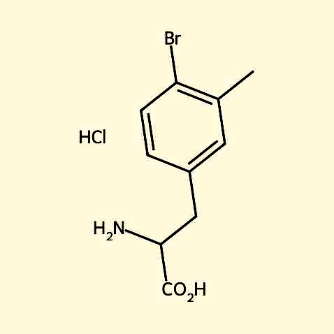 Cc1cc(CC(N)C(=O)O)ccc1Br.Cl